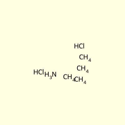 C.C.C.C.Cl.Cl.N